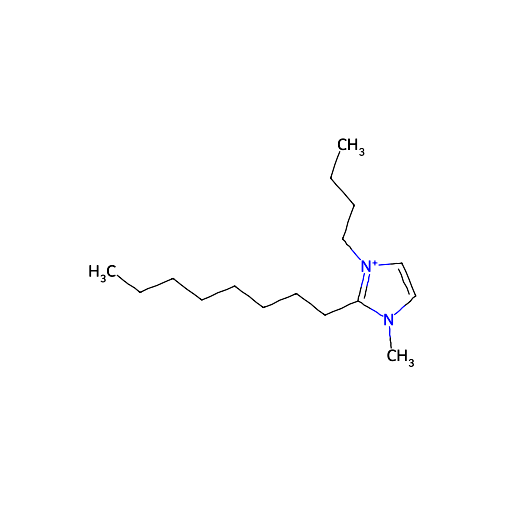 CCCCCCCCc1n(C)cc[n+]1CCCC